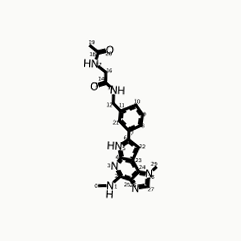 CNc1nc2[nH]c(-c3cccc(CNC(=O)CNC(C)=O)c3)cc2c2c1ncn2C